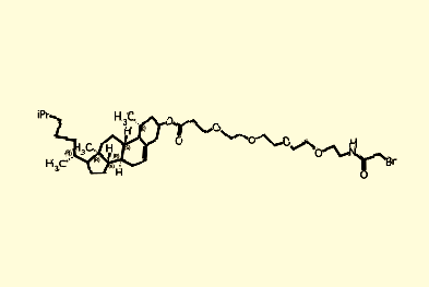 CC(C)CCC[C@@H](C)C1CC[C@H]2[C@@H]3CC=C4CC(OC(=O)CCOCCOCCOCCOCCNC(=O)CBr)C[C@@H](C)C4[C@H]3CC[C@]12C